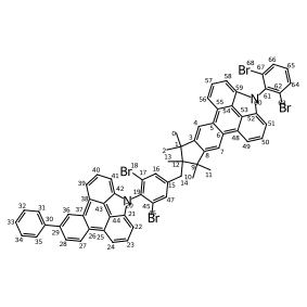 CC1(C)c2cc3c(cc2C(C)(C)C1(C)Cc1cc(Br)c(-n2c4cccc5c6ccc(-c7ccccc7)cc6c6cccc2c6c54)c(Br)c1)c1cccc2c1c1c3cccc1n2-c1c(Br)cccc1Br